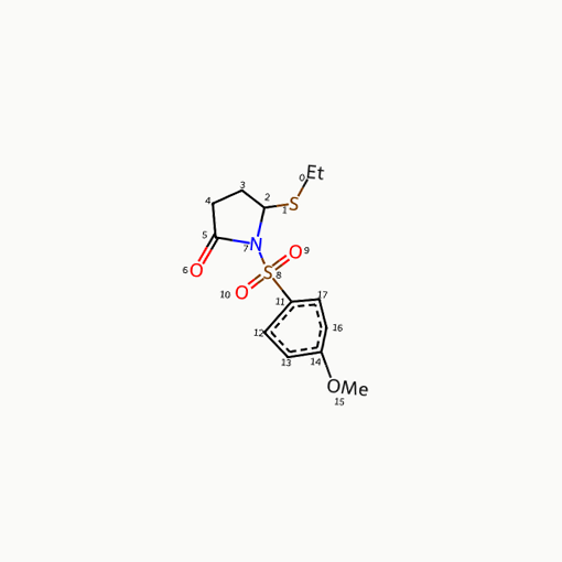 CCSC1CCC(=O)N1S(=O)(=O)c1ccc(OC)cc1